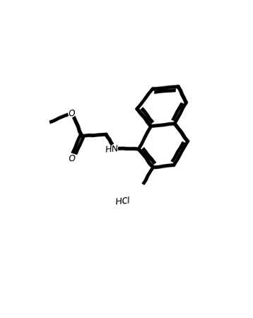 COC(=O)CNc1c(C)ccc2ccccc12.Cl